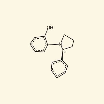 Oc1ccccc1N1CCC[C@H]1c1ccccc1